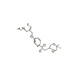 CC1(C)COC(CS(=O)(=O)c2ccc(OC/C(=C/F)CN)cc2)CO1